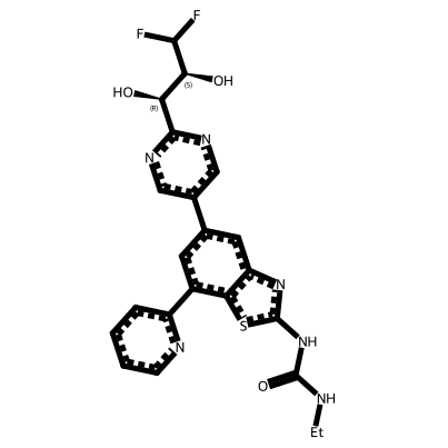 CCNC(=O)Nc1nc2cc(-c3cnc([C@@H](O)[C@H](O)C(F)F)nc3)cc(-c3ccccn3)c2s1